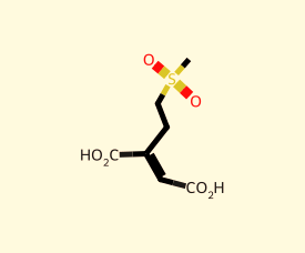 CS(=O)(=O)CCC(=CC(=O)O)C(=O)O